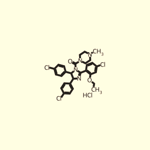 CCOc1cc(Cl)ccc1C1=NC(c2ccc(Cl)cc2)C(c2ccc(Cl)cc2)N1C(=O)N1CCN(C)CC1.Cl